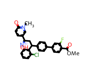 COC(=O)c1ccc(-c2ccc(C(C/C(=N\O)c3ccc(=O)n(C)c3)c3ccccc3Cl)cc2)cc1F